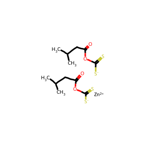 CC(C)CC(=O)OC(=S)[S-].CC(C)CC(=O)OC(=S)[S-].[Zn+2]